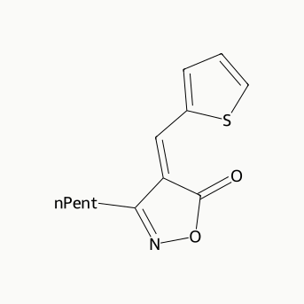 CCCCCC1=NOC(=O)/C1=C\c1cccs1